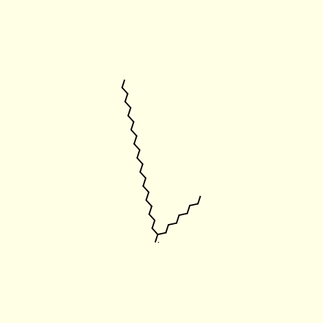 [CH2]C(CCCCCCCC)CCCCCCCCCCCCCCCCCCCCCC